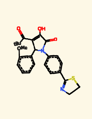 COc1ccccc1C1C(C(=O)C(C)(C)C)=C(O)C(=O)N1c1ccc(C2=NCCS2)cc1